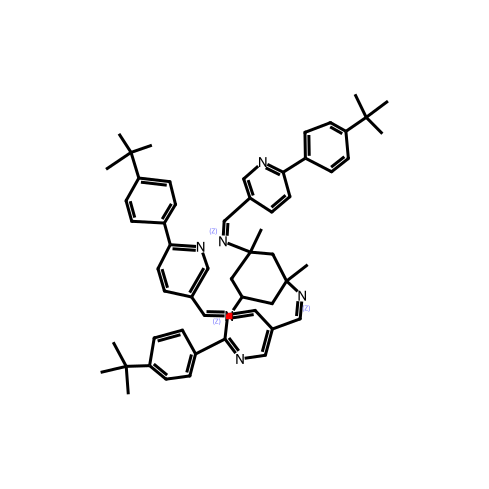 CC1(/N=C\c2ccc(-c3ccc(C(C)(C)C)cc3)nc2)CC(/N=C\c2ccc(-c3ccc(C(C)(C)C)cc3)nc2)CC(C)(/N=C\c2ccc(-c3ccc(C(C)(C)C)cc3)nc2)C1